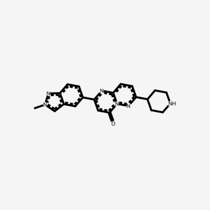 Cn1cc2cc(-c3cc(=O)n4nc(C5CCNCC5)ccc4n3)ccc2n1